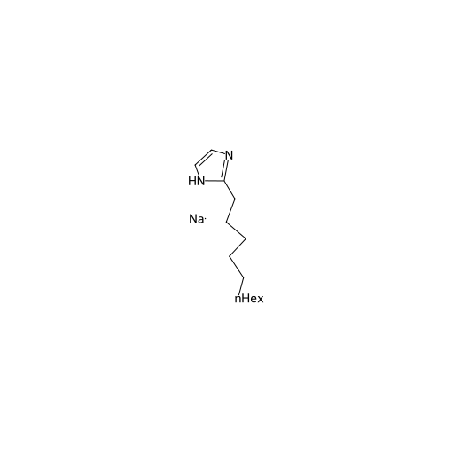 CCCCCCCCCCCc1ncc[nH]1.[Na]